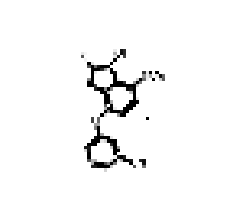 CSc1ccc(Oc2cncc(C#N)c2)c2c1C(O)C(F)C2